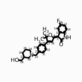 CC1(C)O/C(=C2/C(=O)Nc3ccc(F)cc32)C=C1c1ccc(CN2CCCC(CO)C2)cc1